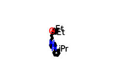 CCC1(CC)COC(CCCN2CCN(c3ccccc3C(C)C)CC2)C1